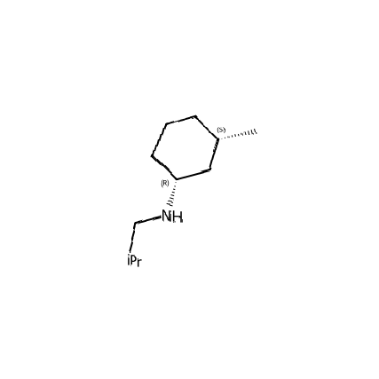 CC(C)CN[C@@H]1CCC[C@H](C)C1